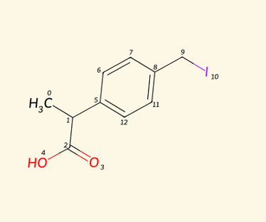 CC(C(=O)O)c1ccc(CI)cc1